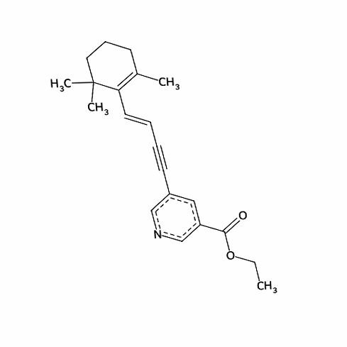 CCOC(=O)c1cncc(C#C/C=C/C2=C(C)CCCC2(C)C)c1